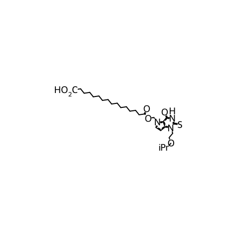 CC(C)OCCn1c(=S)[nH]c(=O)c2c1ccn2COC(=O)CCCCCCCCCCCCCCC(=O)O